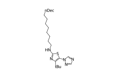 CCCCCCCCCCCCCCCCCCNc1nc(C(C)(C)C)c(-n2cncn2)s1